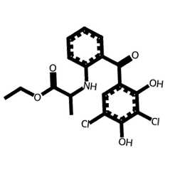 CCOC(=O)C(C)Nc1ccccc1C(=O)c1cc(Cl)c(O)c(Cl)c1O